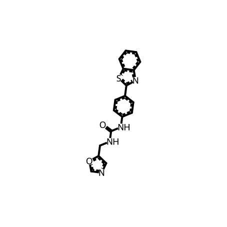 O=C(NCc1cnco1)Nc1ccc(-c2nc3ccccc3s2)cc1